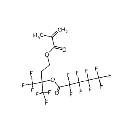 C=C(C)C(=O)OCCC(OC(=O)C(F)(F)C(F)(F)C(F)(F)C(F)(F)F)(C(F)(F)F)C(F)(F)F